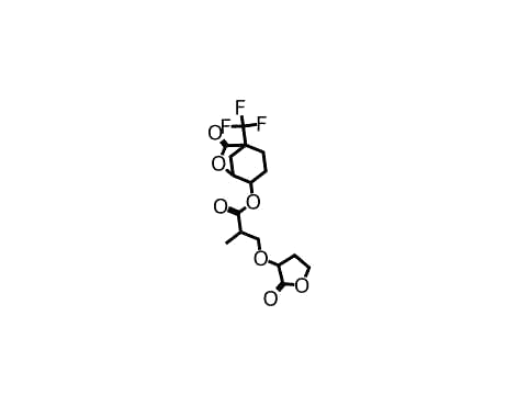 CC(COC1CCOC1=O)C(=O)OC1CCC2(C(F)(F)F)CC1OC2=O